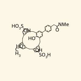 CNC(=O)Cc1ccc(-c2cc3c(O)c(c2)Cc2cc(S(=O)(=O)O)cc(c2O)Cc2cc(C)cc(c2O)Cc2cc(S(=O)(=O)O)cc(c2O)C3)cc1